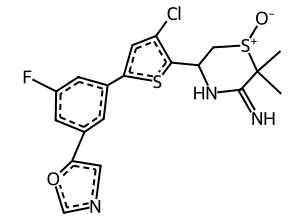 CC1(C)C(=N)NC(c2sc(-c3cc(F)cc(-c4cnco4)c3)cc2Cl)C[S+]1[O-]